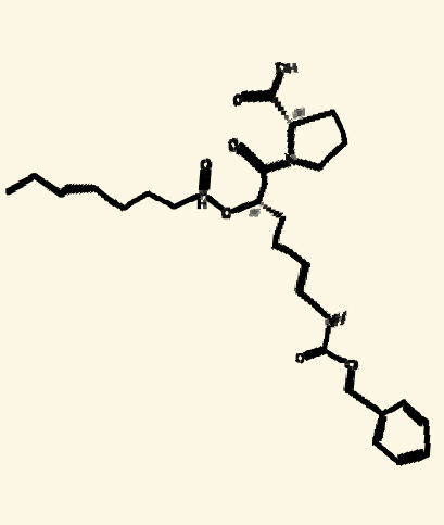 CCCCCCC[PH](=O)O[C@@H](CCCCNC(=O)OCc1ccccc1)C(=O)N1CCC[C@H]1C(=O)O